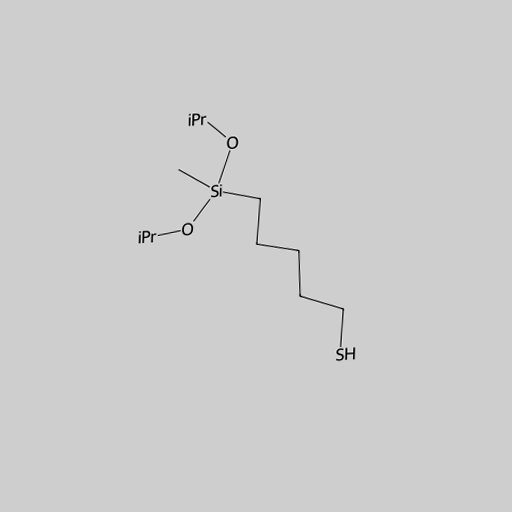 CC(C)O[Si](C)(CCCCCS)OC(C)C